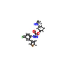 CN[C@@H]1CCC[C@@H](OC(=O)Nc2ccc(F)cc2-c2ccsc2)C1